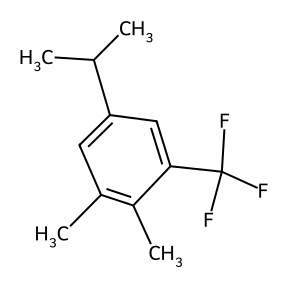 Cc1cc(C(C)C)cc(C(F)(F)F)c1C